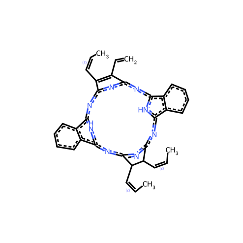 C=CC1=C(/C=C\C)c2nc1nc1[nH]c(nc3nc(nc4[nH]c(n2)c2ccccc42)C(/C=C\C)C3/C=C\C)c2ccccc12